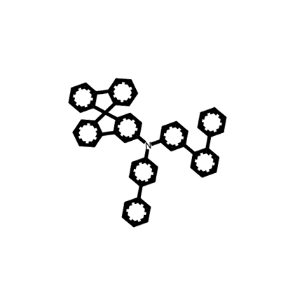 c1ccc(-c2ccc(N(c3cccc(-c4ccccc4-c4ccccc4)c3)c3ccc4c(c3)-c3ccccc3C43c4ccccc4-c4ccccc43)cc2)cc1